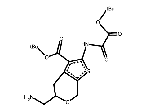 CC(C)(C)OC(=O)C(=O)Nc1sc2c(c1C(=O)OC(C)(C)C)CC(CN)OC2